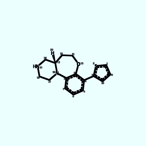 c1csc(-c2cccc3c2OCC[C@H]2CNCCN32)c1